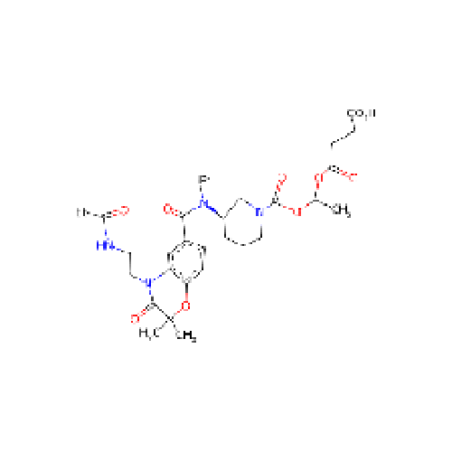 CCC(=O)NCCN1C(=O)C(C)(C)Oc2ccc(C(=O)N(C(C)C)[C@@H]3CCCN(C(=O)OC(C)OC(=O)CCC(=O)O)C3)cc21